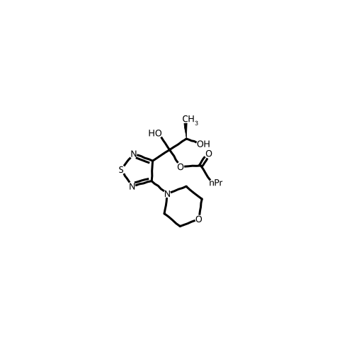 CCCC(=O)OC(O)(c1nsnc1N1CCOCC1)[C@@H](C)O